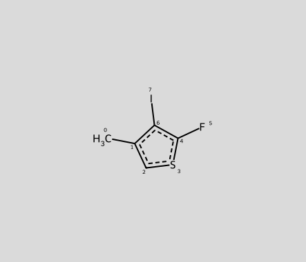 Cc1csc(F)c1I